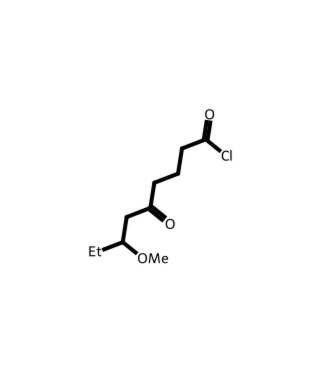 CCC(CC(=O)CCCC(=O)Cl)OC